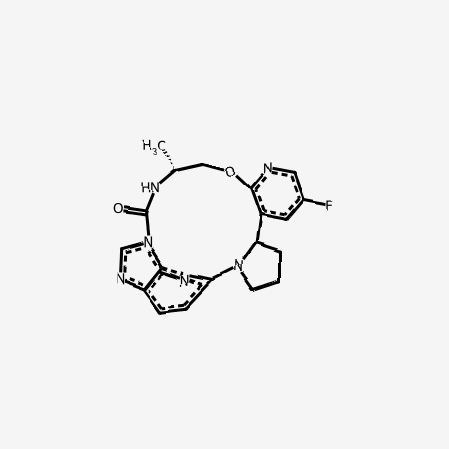 C[C@@H]1COc2ncc(F)cc2C2CCCN2c2ccc3ncn(c3n2)C(=O)N1